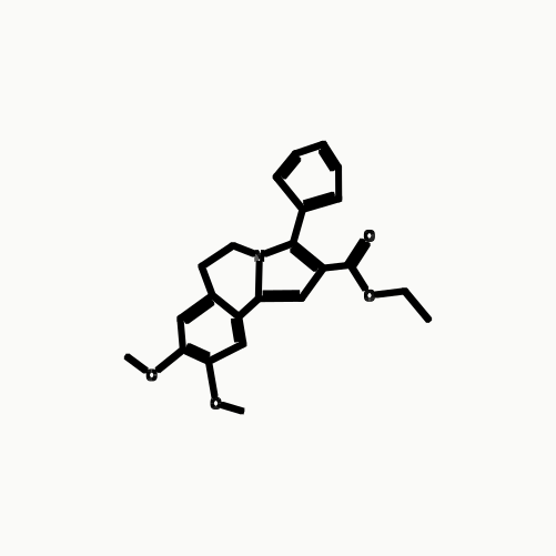 CCOC(=O)c1cc2n(c1-c1ccccc1)CCc1cc(OC)c(OC)cc1-2